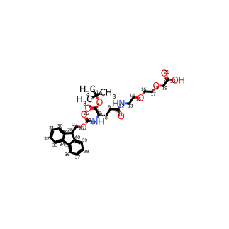 CC(C)(C)OC(=O)[C@H](CCC(=O)NCCOCCOCC(=O)O)NC(=O)OCC1c2ccccc2-c2ccccc21